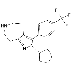 FC(F)(F)c1ccc(-c2c3c(nn2C2CCCC2)CCNCC3)cc1